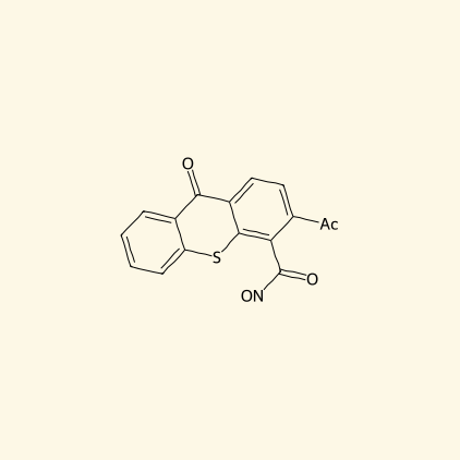 CC(=O)c1ccc2c(=O)c3ccccc3sc2c1C(=O)N=O